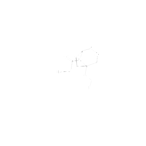 CC(C)(C)OC(=O)N1C2CCC1(CCF)CNC2